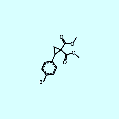 COC(=O)C1(C(=O)OC)CC1c1ccc(Br)cc1